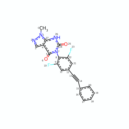 Cn1ncc2c(=O)n(-c3c(F)cc(C#Cc4ccccc4)cc3F)c(=O)[nH]c21